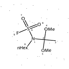 CCCCCCN(C(C)(OC)OC)S(=O)(=O)F